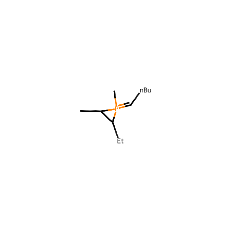 CCCCC=P1(C)C(C)C1CC